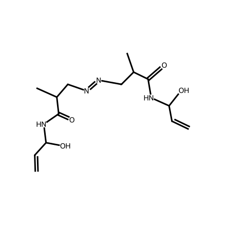 C=CC(O)NC(=O)C(C)CN=NCC(C)C(=O)NC(O)C=C